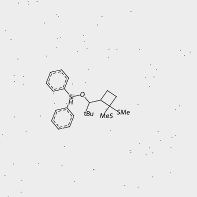 CSC1(SC)CCC1C(O[SiH](c1ccccc1)c1ccccc1)C(C)(C)C